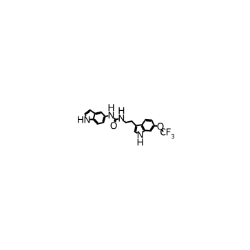 O=C(NCCc1c[nH]c2cc(OC(F)(F)F)ccc12)Nc1ccc2[nH]ccc2c1